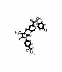 CC1C(=O)N(c2ccc(S(=O)(=O)C(F)(F)F)cc2)C(=O)N1Cc1ccnc(C(=O)N(C)c2ccc(Cl)cc2)c1